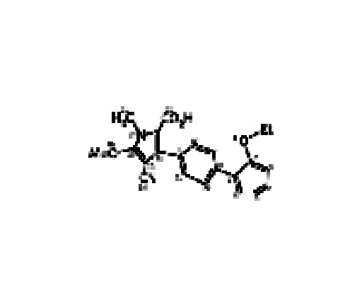 CCOc1ccccc1-c1ccc(-c2c(C#N)c(OC)n(C)c2C(=O)O)cc1